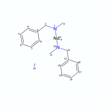 C[N](Cc1ccccc1)[Nd+][N](C)Cc1ccccc1.[I-]